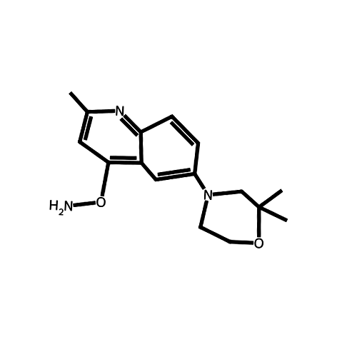 Cc1cc(ON)c2cc(N3CCOC(C)(C)C3)ccc2n1